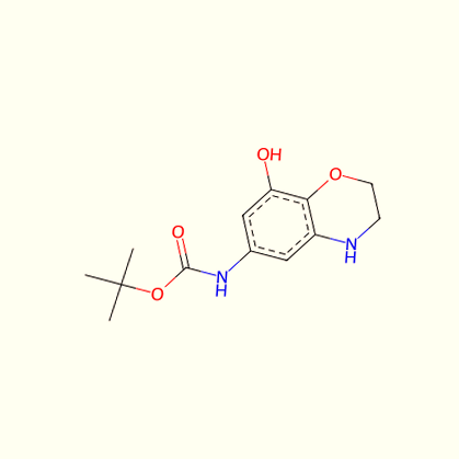 CC(C)(C)OC(=O)Nc1cc(O)c2c(c1)NCCO2